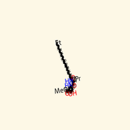 CCC=CCC=CCC=CCC=CCC=CCC=CCCC(=O)NC(CC(C)C)C(=O)Nc1ccc(O)c(C(=O)OC)c1